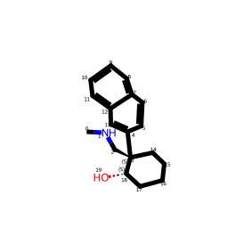 CNC[C@@]1(c2ccc3ccccc3c2)CCCC[C@@H]1O